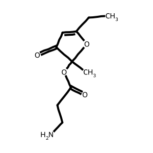 CCC1=CC(=O)C(C)(OC(=O)CCN)O1